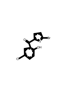 O=C(c1ccc(Br)s1)c1cc(Cl)ccc1O